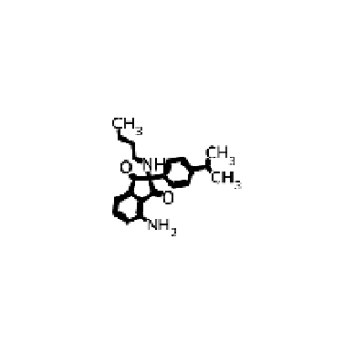 CCCCNC1(c2[c]cc(C(C)C)cc2)C(=O)c2cccc(N)c2C1=O